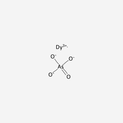 O=[As]([O-])([O-])[O-].[Dy+3]